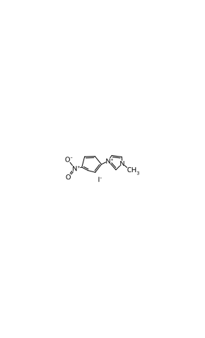 Cn1cc[n+](-c2ccc([N+](=O)[O-])cc2)c1.[I-]